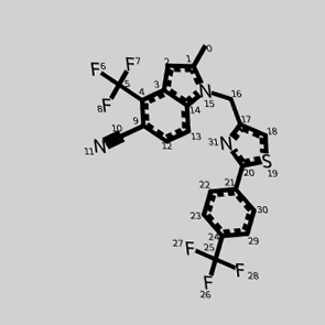 Cc1cc2c(C(F)(F)F)c(C#N)ccc2n1Cc1csc(-c2ccc(C(F)(F)F)cc2)n1